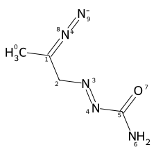 CC(CN=NC(N)=O)=[N+]=[N-]